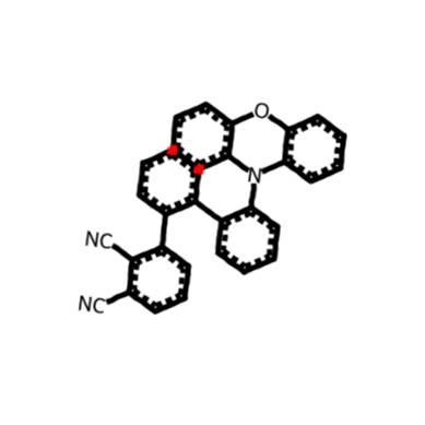 N#Cc1cccc(-c2ccccc2-c2ccccc2N2c3ccccc3Oc3ccccc32)c1C#N